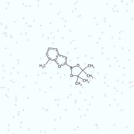 Cc1cccc2cc(B3OC(C)(C)C(C)(C)O3)oc12